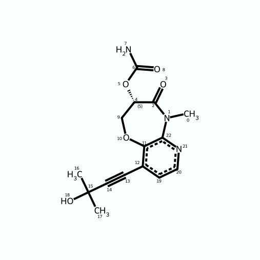 CN1C(=O)[C@@H](OC(N)=O)COc2c(C#CC(C)(C)O)ccnc21